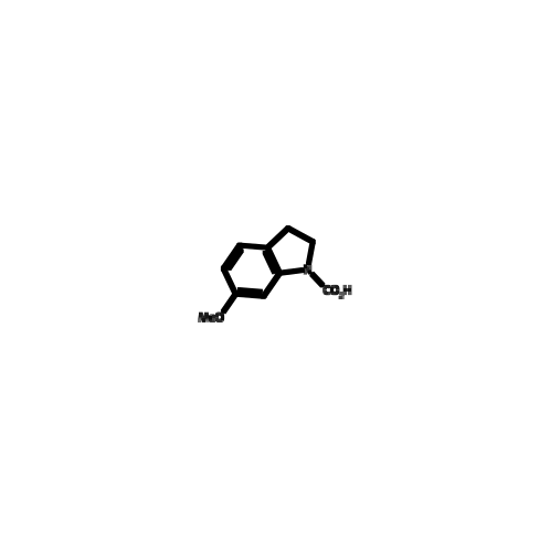 COc1ccc2c(c1)N(C(=O)O)CC2